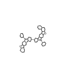 c1ccc(-n2c3ccc(-c4ccc5c(c4)c4cc6c(cc4n5-c4ccccc4)oc4ccc5ccccc5c46)cc3c3cc4c(cc32)oc2ccccc24)cc1